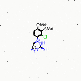 CCC=[N+](NC(=N)N)c1ccc(OC)c(SC)c1Cl